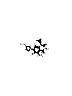 Nc1c(F)c(N2CC[C@H](N)C2)c(F)c2c1c(=O)n(N)c(=O)n2C1CC1